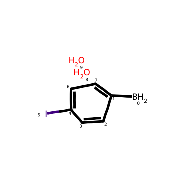 Bc1ccc(I)cc1.O.O